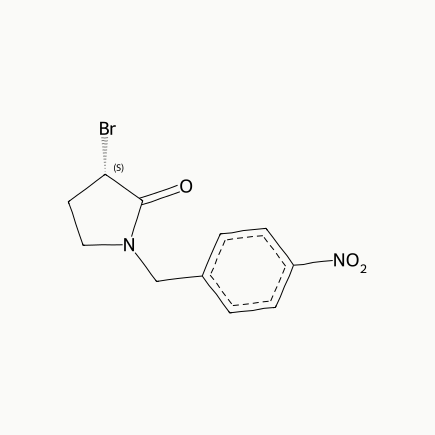 O=C1[C@@H](Br)CCN1Cc1ccc([N+](=O)[O-])cc1